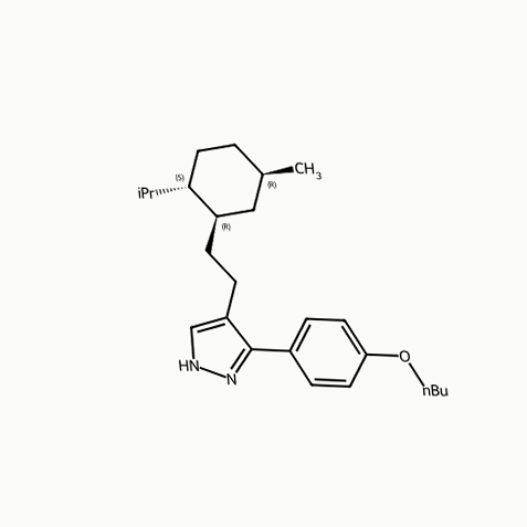 CCCCOc1ccc(-c2n[nH]cc2CC[C@@H]2C[C@H](C)CC[C@H]2C(C)C)cc1